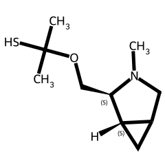 CN1CC2C[C@@H]2[C@H]1COC(C)(C)S